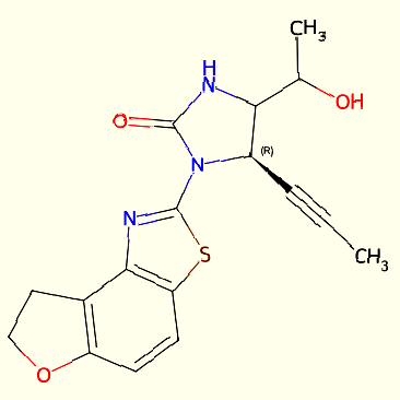 CC#C[C@@H]1C(C(C)O)NC(=O)N1c1nc2c3c(ccc2s1)OCC3